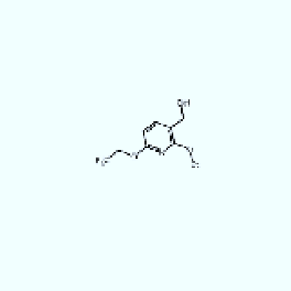 CCOc1nc(OCC(F)(F)F)ccc1CO